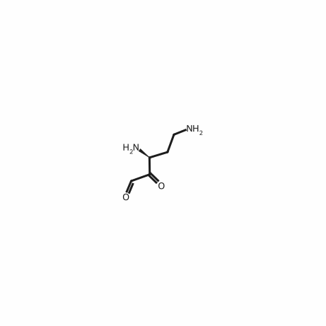 NCC[C@H](N)C(=O)C=O